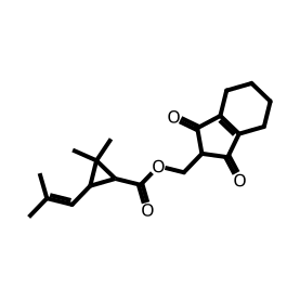 CC(C)=CC1C(C(=O)OCC2C(=O)C3=C(CCCC3)C2=O)C1(C)C